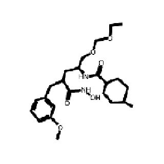 CCOCOCC(CC(Cc1cccc(OC)c1)C(=O)NO)NC(=O)C1CCC(C)CC1